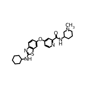 CN1CCCC(NC(=O)c2cc(Oc3ccc4nc(NC5CCCCC5)sc4c3)ccn2)C1